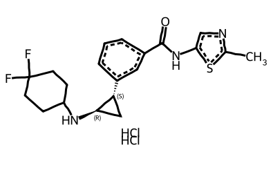 Cc1ncc(NC(=O)c2cccc([C@@H]3C[C@H]3NC3CCC(F)(F)CC3)c2)s1.Cl.Cl